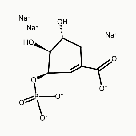 O=C([O-])C1=C[C@@H](OP(=O)([O-])[O-])[C@@H](O)[C@H](O)C1.[Na+].[Na+].[Na+]